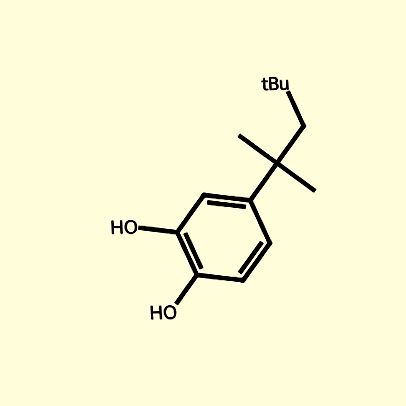 CC(C)(C)CC(C)(C)c1ccc(O)c(O)c1